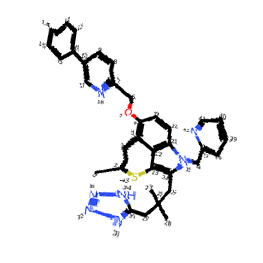 CC1Cc2c(OCc3ccc(-c4ccccc4)cn3)ccc3c2c(c(CC(C)(C)Cc2nnn[nH]2)n3Cc2ccccn2)S1